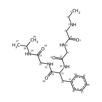 CCNCC(=O)NCC(=O)NC(Cc1ccccc1)C(=O)NCC(=O)NC(C)C